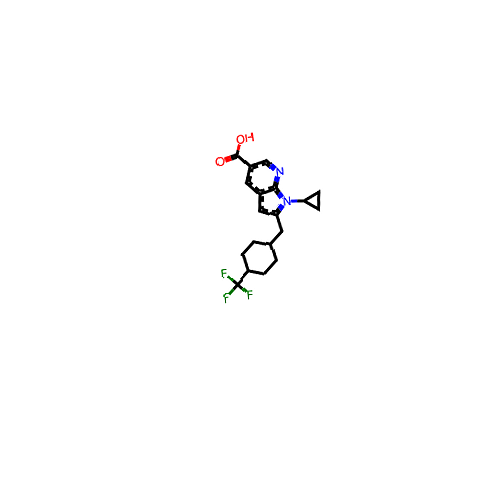 O=C(O)c1cnc2c(c1)cc(CC1CCC(C(F)(F)F)CC1)n2C1CC1